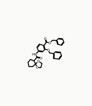 O=C(OCc1ccccc1)c1ccc(NC(=O)C2CCCCC23OCCO3)cc1OCc1ccccc1